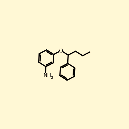 CCCC(Oc1cccc(N)c1)c1ccccc1